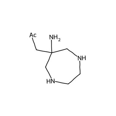 CC(=O)CC1(N)CNCCNC1